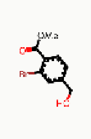 COC(=O)c1ccc(CO)cc1Br